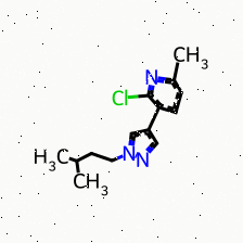 Cc1ccc(-c2cnn(CCC(C)C)c2)c(Cl)n1